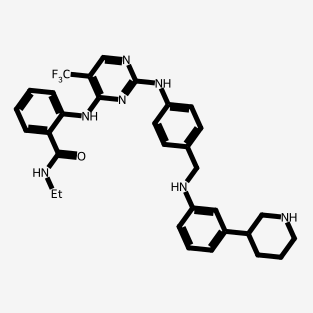 CCNC(=O)c1ccccc1Nc1nc(Nc2ccc(CNc3cccc(C4CCCNC4)c3)cc2)ncc1C(F)(F)F